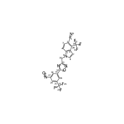 N#Cc1ccc2c(ccn2Cc2noc(-c3cc(N=O)cc(C(F)(F)F)c3)n2)c1C(F)(F)F